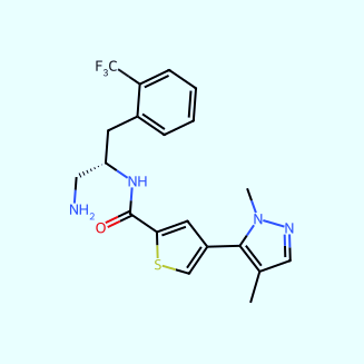 Cc1cnn(C)c1-c1csc(C(=O)N[C@H](CN)Cc2ccccc2C(F)(F)F)c1